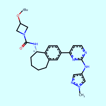 Cn1cc(Nc2nccc(-c3ccc4c(c3)CCCC[C@@H]4NC(=O)N3CC(OC(C)(C)C)C3)n2)cn1